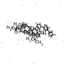 C=C(C)[C@@H]1CC[C@]2(C(=O)N3CCC[C@H]3c3ncc(-c4cccs4)[nH]3)CC[C@]3(C)[C@H](CC[C@@H]4[C@@]5(C)CC[C@H](OC(C)=O)C(C)(C)[C@@H]5CC[C@]43C)[C@@H]12